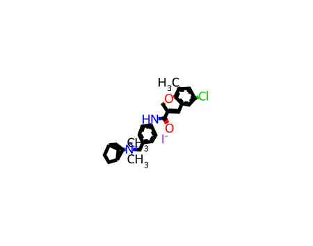 Cc1cc(Cl)cc2c1OCC(C(=O)Nc1ccc(C[N+](C)(C)C3CC4CCC3C4)cc1)=C2.[I-]